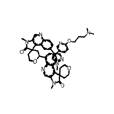 CN(C)CCCOc1ccc(-c2cc(C3CC4(CCO3)C(=O)N(C)c3cnc5ccc(-c6cnn(C)c6)cc5c34)c3ncc4c(c3c2)C2(CCOCC2)C(=O)N4C)cn1